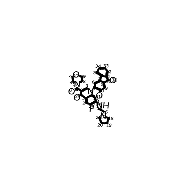 O=C(c1cn2c3cc4c(cc3oc3c(NCCN5CCCC5)c(F)cc(c1=O)c32)c(=O)c1ccccc14)N1CCOCC1